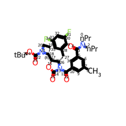 CCCN(CCC)C(=O)c1cc(C)cc(C(=O)N2C(=O)O[C@H]([C@H]3CCN3C(=O)OC(C)(C)C)[C@@H]2Cc2cc(F)cc(F)c2)c1